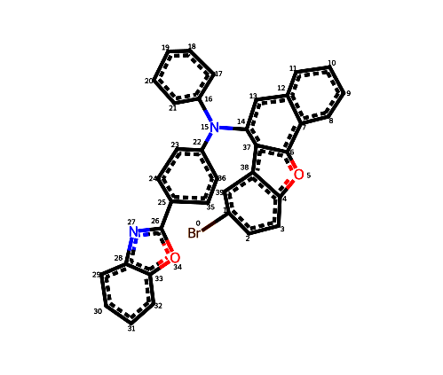 Brc1ccc2oc3c4ccccc4cc(N(c4ccccc4)c4ccc(-c5nc6ccccc6o5)cc4)c3c2c1